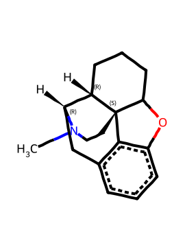 CN1CC[C@]23c4c5cccc4OC2CCC[C@H]3[C@H]1C5